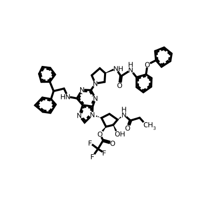 CCC(=O)N[C@H]1C[C@@H](n2cnc3c(NCC(c4ccccc4)c4ccccc4)nc(N4CC[C@@H](NC(=O)Nc5ccccc5Oc5ccccc5)C4)nc32)[C@H](OC(=O)C(F)(F)F)[C@@H]1O